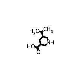 CC(C)C1CNCC(C(=O)O)C1